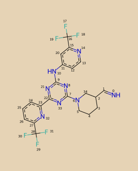 N=CC1CCCN(c2nc(Nc3ccnc(C(F)(F)F)c3)nc(-c3cccc(C(F)(F)F)n3)n2)C1